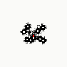 c1ccc2cc3c(cc2c1)c1ccccc1n3-c1cc2c(cc1-c1nc(-c3cccc4ccccc34)nc(-n3c4ccccc4c4ccccc43)n1)oc1ccccc12